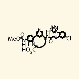 COC(=O)Nc1ccc2c(c1)N[C@@H](C(=O)O)CCCC[C@H](NC(=O)/C=C/c1cc(Cl)ccc1-n1cnnn1)c1cncc-2c1